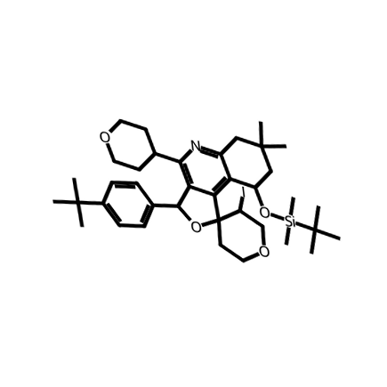 CC1(C)Cc2nc(C3CCOCC3)c3c(c2C(O[Si](C)(C)C(C)(C)C)C1)C1(CCOCC1I)OC3c1ccc(C(C)(C)C)cc1